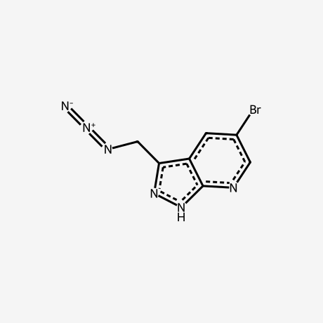 [N-]=[N+]=NCc1n[nH]c2ncc(Br)cc12